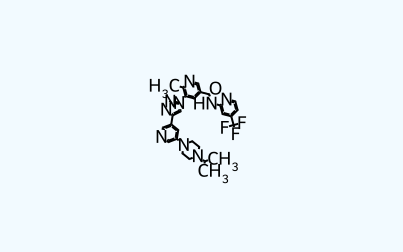 Cc1ncc(C(=O)Nc2cc(C(F)(F)F)ccn2)cc1-n1cc(-c2cncc(N3CCN(C(C)C)CC3)c2)nn1